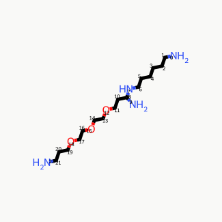 NCCCCCCNC(N)CCOCCOCCOCCCN